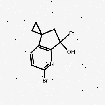 CCC1(O)CC2(CC2)c2ccc(Br)nc21